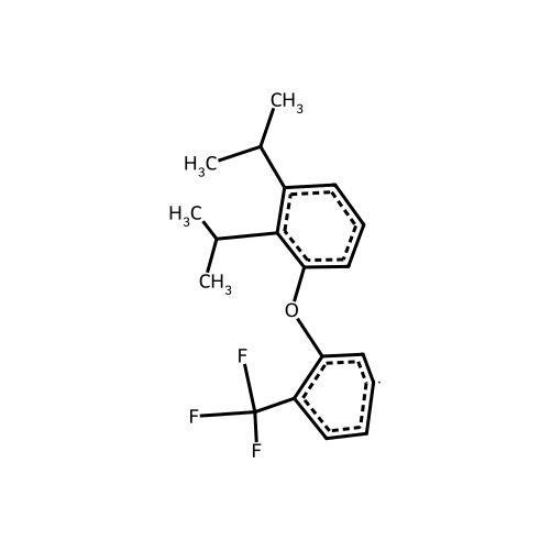 CC(C)c1cccc(Oc2c[c]ccc2C(F)(F)F)c1C(C)C